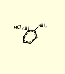 Cl.Cl.[BiH2][c]1ccccc1